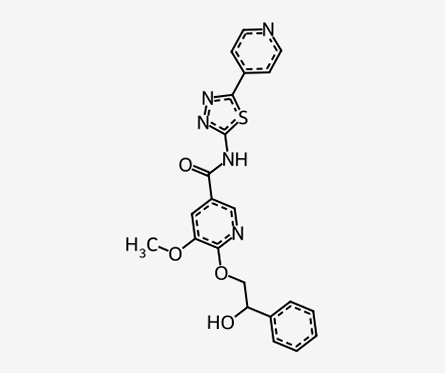 COc1cc(C(=O)Nc2nnc(-c3ccncc3)s2)cnc1OCC(O)c1ccccc1